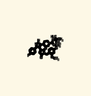 COc1ccc(CN2C(=O)C=C(c3c(-c4ccc(F)cc4)n[nH]c3C3CCN(C(=O)OC(C)(C)C)CC3)C2=O)c(OC)c1